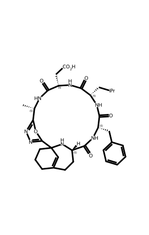 CC(C)C[C@@H]1NC(=O)[C@H](Cc2ccccc2)NC(=O)[C@@H]2CCC3=CC(CCC3)(N2)c2nnc(o2)[C@H](C)NC(=O)[C@H](CC(=O)O)NC1=O